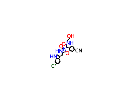 N#Cc1ccc(C(C(=O)NCCO)N2C(=O)N/C(=C\c3c[nH]c4cc(Cl)ccc34)C2=O)cc1